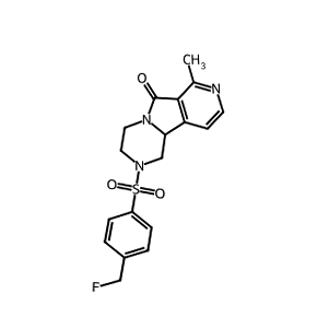 Cc1nccc2c1C(=O)N1CCN(S(=O)(=O)c3ccc(CF)cc3)CC21